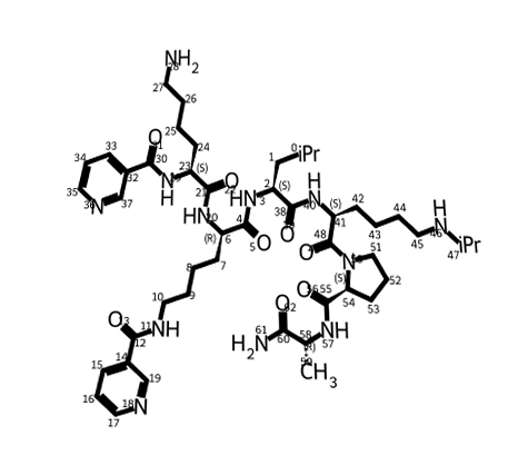 CC(C)C[C@H](NC(=O)[C@@H](CCCCNC(=O)c1cccnc1)NC(=O)[C@H](CCCCN)NC(=O)c1cccnc1)C(=O)N[C@@H](CCCCNC(C)C)C(=O)N1CCC[C@H]1C(=O)N[C@H](C)C(N)=O